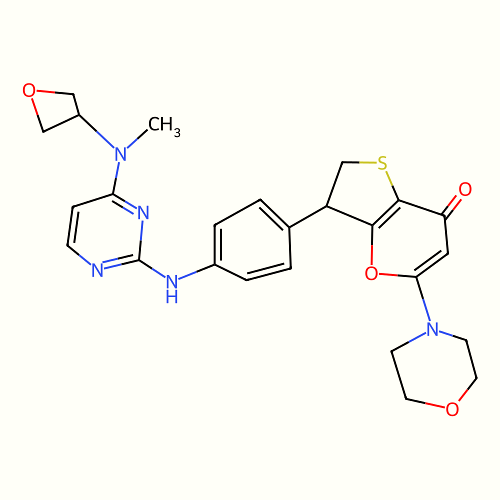 CN(c1ccnc(Nc2ccc(C3CSc4c3oc(N3CCOCC3)cc4=O)cc2)n1)C1COC1